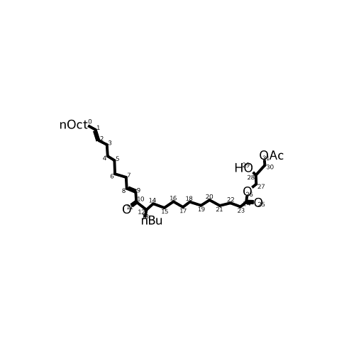 CCCCCCCCC=CCCCCCC=CC(=O)C(CCCC)CCCCCCCCCCC(=O)OCC(O)COC(C)=O